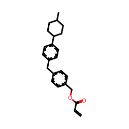 C=CC(=O)OCc1ccc(Cc2ccc(C3CCC(C)CC3)cc2)cc1